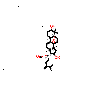 C=C(CC[C@@H](OC=O)[C@H]1[C@H](O)C[C@@]2(C)C34CC[C@@]5(OO3)C(C)(C)[C@@H](O)CC[C@]5(C)C4=CC[C@]12C)C(C)C